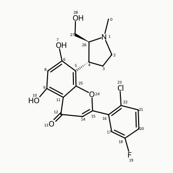 CN1CC[C@H](c2c(O)cc(O)c3c(=O)cc(-c4cc(F)ccc4Cl)oc23)[C@H]1CO